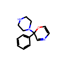 [c]1ccc(C2(N3CCNCC3)C=NC=CO2)cc1